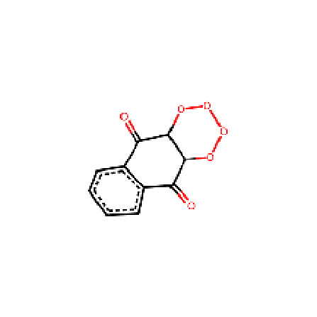 O=C1c2ccccc2C(=O)C2OOOOC12